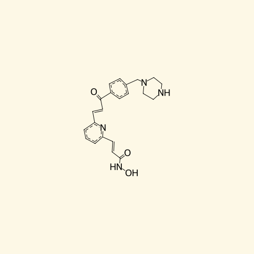 O=C(C=Cc1cccc(C=CC(=O)c2ccc(CN3CCNCC3)cc2)n1)NO